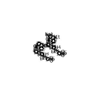 CCN(Cc1cccc(S(=O)(=O)[O-])c1)c1ccc([C+](c2ccc(N(CC)Cc3cccc(S(=O)(=O)[O-])c3)cc2)c2ccccc2S(=O)(=O)O)cc1.CCN(Cc1cccc(S(=O)(=O)[O-])c1)c1ccc([C+](c2ccc(N(CC)Cc3cccc(S(=O)(=O)[O-])c3)cc2)c2ccccc2S(=O)(=O)O)cc1.[Na+].[Na+]